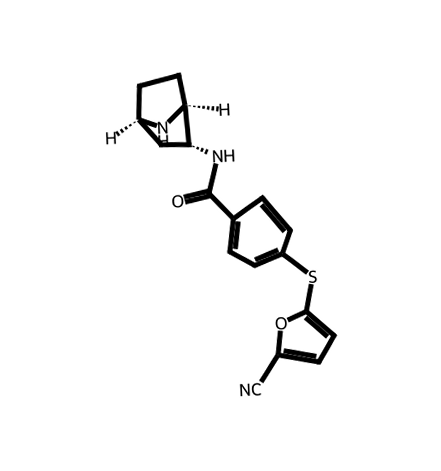 N#Cc1ccc(Sc2ccc(C(=O)N[C@@H]3C[C@H]4CC[C@@H]3N4)cc2)o1